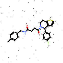 Cc1ccc(CNC(=O)CCC(=O)N2CCc3sccc3C2c2ccc(F)cc2)cc1